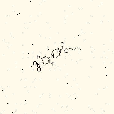 CCCCOC(=O)N1CCN(c2cc(F)c([N+](=O)[O-])cc2F)CC1